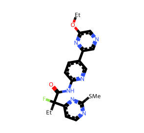 CCOc1cncc(-c2ccc(NC(=O)C(F)(CC)c3ccnc(SC)n3)nc2)n1